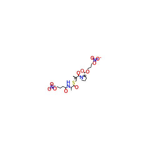 CC(NC(=O)CCCO[N+](=O)[O-])C(=O)SC[C@@H](C)C(=O)N1CCC[C@H]1C(=O)OCCCO[N+](=O)[O-]